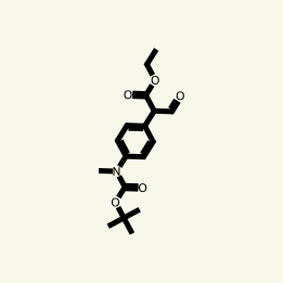 CCOC(=O)C(C=O)c1ccc(N(C)C(=O)OC(C)(C)C)cc1